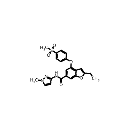 CCc1cc2c(Oc3ccc(S(C)(=O)=O)cc3)cc(C(=O)Nc3ccn(C)n3)cc2o1